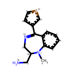 CN1c2ccccc2C(c2ccsc2)=NCC1CN